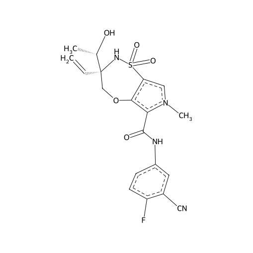 C=C[C@@]1([C@H](C)O)COc2c(cn(C)c2C(=O)Nc2ccc(F)c(C#N)c2)S(=O)(=O)N1